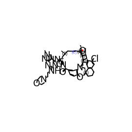 CO[C@H]1/C=C/C[C@H](C)C[S@@](=O)(Nc2nc(NCCN3CCOCC3)nc3nn(C)cc23)=NC(=O)c2ccc3c(c2)N(C[C@@H]2CC[C@H]21)C[C@@]1(CCCc2cc(Cl)ccc21)CO3